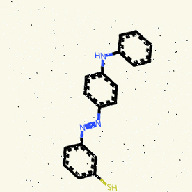 Sc1cccc(N=Nc2ccc(Nc3ccccc3)cc2)c1